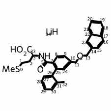 CSCC[C@H](NC(=O)c1ccc(COCc2ccc3ccccc3c2)cc1-c1ccccc1C)C(=O)O.[LiH]